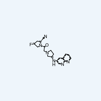 N#C[C@@H]1C[C@H](F)CN1C(=O)CN1CC[C@@H](Nc2cnc3ncccc3c2)C1